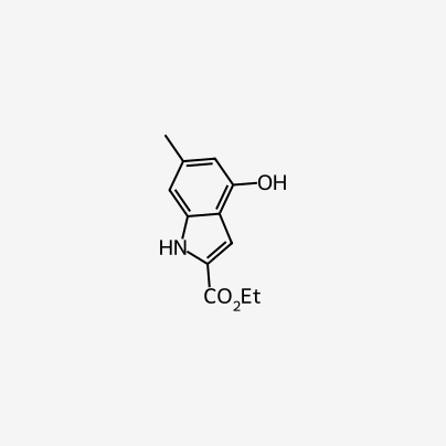 CCOC(=O)c1cc2c(O)cc(C)cc2[nH]1